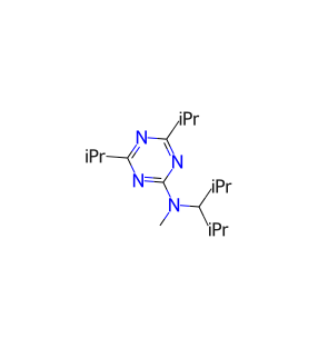 CC(C)c1nc(C(C)C)nc(N(C)C(C(C)C)C(C)C)n1